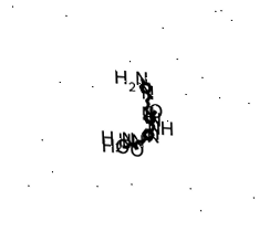 NC1CCN(CCCCn2ccc(Nc3ccc(CNC(=O)[C@H](N)CO)cn3)nc2=O)CC1